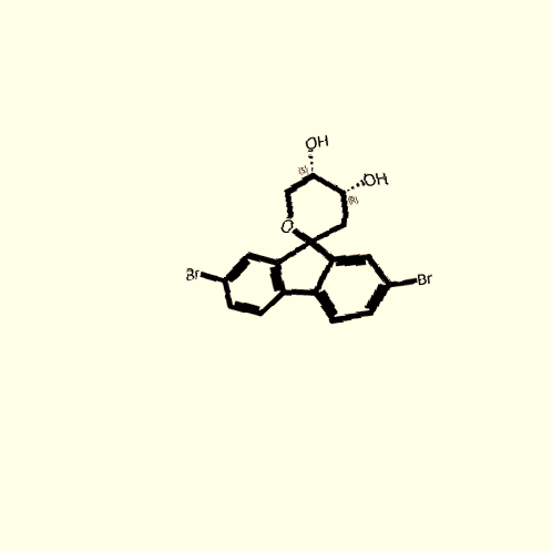 O[C@@H]1CC2(OC[C@@H]1O)c1cc(Br)ccc1-c1ccc(Br)cc12